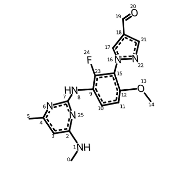 CNc1cc(C)nc(Nc2ccc(OC)c(-n3cc(C=O)cn3)c2F)n1